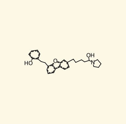 Oc1ccccc1CCc1cccc2c1oc1cc(CCCCC(O)N3CCCC3)ccc12